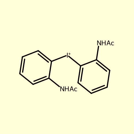 CC(=O)Nc1ccccc1[I+]c1ccccc1NC(C)=O